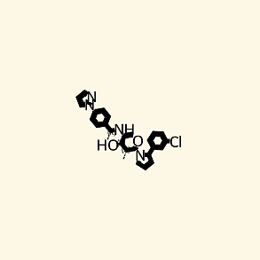 C=C(N[C@H](C)c1ccc(-n2cccn2)cc1)[C@H](O)[C@@H](C)C(=O)N1CC=CC1c1cccc(Cl)c1